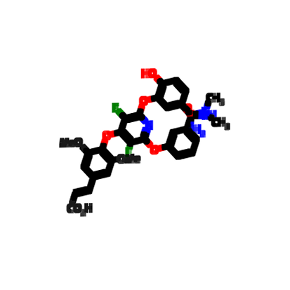 COc1cc(C=CC(=O)O)cc(OC)c1Oc1c(F)c(Oc2cccc(C(=O)N(C)C)c2)nc(Oc2cc(C(=N)N)ccc2O)c1F